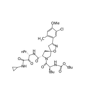 CCC[C@H](NC(=O)[C@@H]1C[C@]2(CC(c3cc(Cl)c(OC)cc3C)=NO2)CN1C(=O)[C@@H](NC(=O)OC(C)(C)C)C(C)(C)C)C(=O)C(=O)NC1CC1